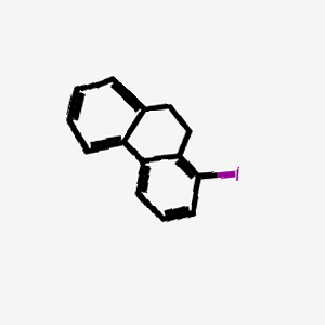 Ic1cccc2c1CCc1ccccc1-2